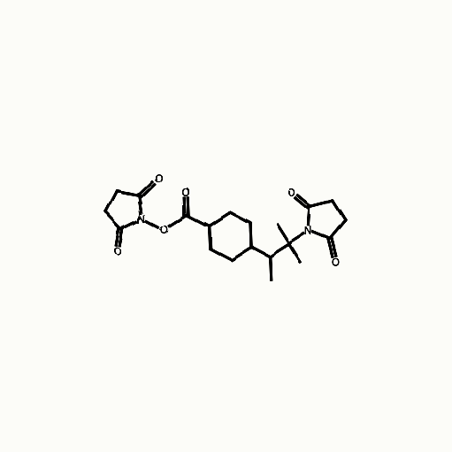 CC(C1CCC(C(=O)ON2C(=O)CCC2=O)CC1)C(C)(C)N1C(=O)CCC1=O